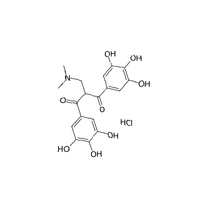 CN(C)CC(C(=O)c1cc(O)c(O)c(O)c1)C(=O)c1cc(O)c(O)c(O)c1.Cl